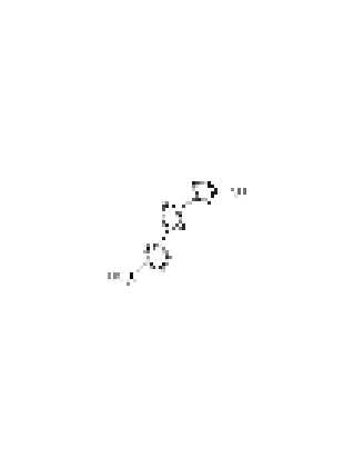 O=C(O)c1ccc(-c2ccc(-c3ccc(S)s3)s2)s1